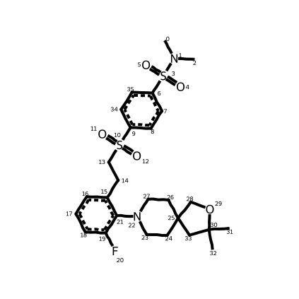 CN(C)S(=O)(=O)c1ccc(S(=O)(=O)CCc2cccc(F)c2N2CCC3(CC2)COC(C)(C)C3)cc1